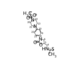 CC(=S)NCC1CN(c2ccc(N3CCN(S(C)(=O)=O)CC3)cc2)C(=O)O1